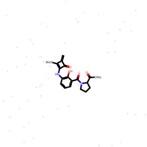 C=C1C(=O)C(Nc2cccc(C(=O)N3CCCC3C(=O)OC)c2O)=C1OC